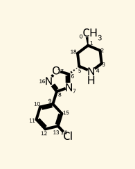 C[C@H]1CCN[C@H](c2nc(-c3cccc(Cl)c3)no2)C1